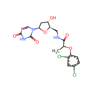 CC(Oc1ccc(Cl)cc1Cl)C(=O)NC[C@H]1O[C@@H](N2C=IC(=O)NC2=O)C[C@@H]1O